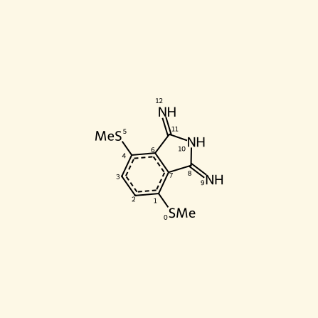 CSc1ccc(SC)c2c1C(=N)NC2=N